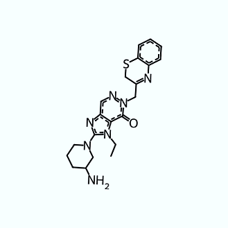 CCn1c(N2CCCC(N)C2)nc2cnn(CC3=Nc4ccccc4SC3)c(=O)c21